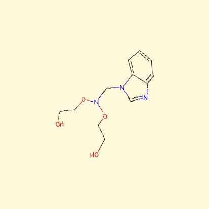 OCCON(Cn1cnc2ccccc21)OCCO